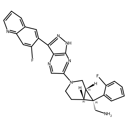 NC[C@]1(c2ccccc2F)[C@@H]2CCN(c3cnc4c(-c5cc6cccnc6cc5F)n[nH]c4n3)C[C@@H]21